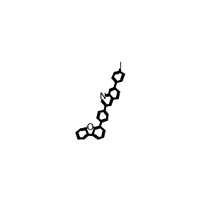 Ic1ccc(-c2ccc3cc(-c4ccc(-c5cccc6c5oc5ccccc56)cc4)cnc3c2)cc1